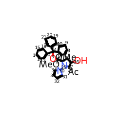 COC(OC)(OC(c1ccccc1)(c1ccccc1)c1ccccc1)C1CC(O)C(C(C)=O)N1n1cccc1